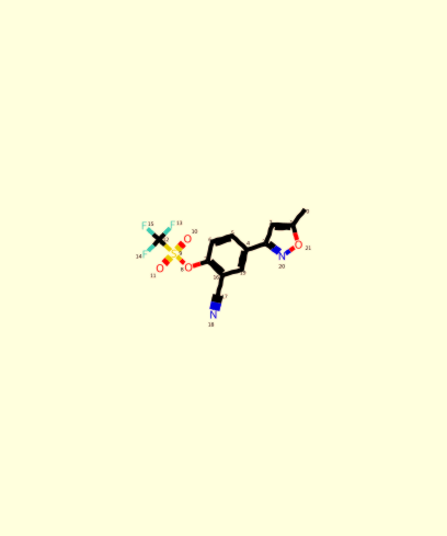 Cc1cc(-c2ccc(OS(=O)(=O)C(F)(F)F)c(C#N)c2)no1